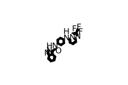 Cn1nc2ccccc2c1C(=O)NC1CCC(Nc2cccc3nc(C(F)(F)F)cn23)CC1